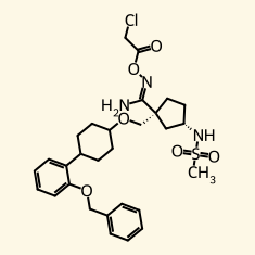 CS(=O)(=O)N[C@H]1CC[C@](COC2CCC(c3ccccc3OCc3ccccc3)CC2)(/C(N)=N/OC(=O)CCl)C1